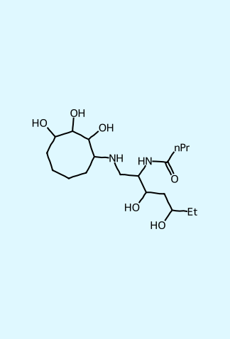 CCCC(=O)NC(CNC1CCCCC(O)C(O)C1O)C(O)CC(O)CC